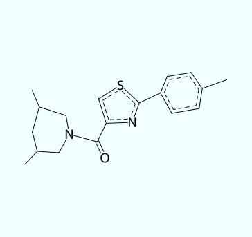 Cc1ccc(-c2nc(C(=O)N3CC(C)CC(C)C3)cs2)cc1